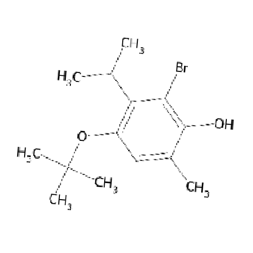 Cc1cc(OC(C)(C)C)c(C(C)C)c(Br)c1O